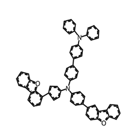 c1ccc(N(c2ccccc2)c2ccc(-c3ccc(N(c4ccc(-c5ccc6oc7ccccc7c6c5)cc4)c4ccc(-c5cccc6c5oc5ccccc56)cc4)cc3)cc2)cc1